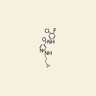 O=C(Nc1ccc(F)c(Cl)c1)c1ccnc(NCCCC2CC2)c1